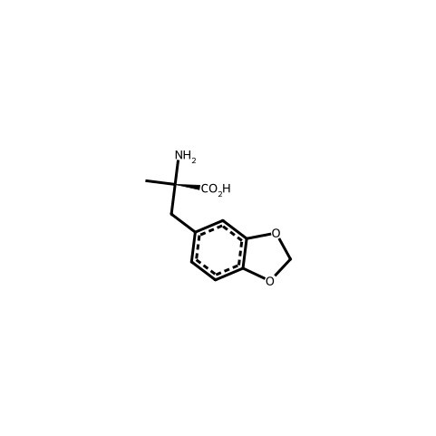 C[C@](N)(Cc1ccc2c(c1)OCO2)C(=O)O